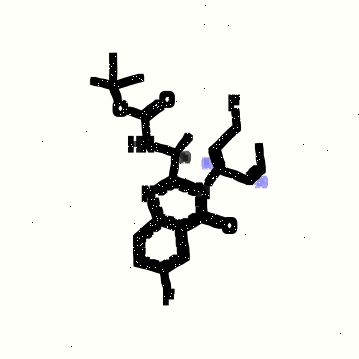 C/C=C\C(=C/CF)n1c([C@H](C)NC(=O)OC(C)(C)C)nc2ccc(F)cc2c1=O